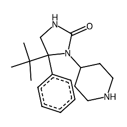 CC(C)(C)C1(c2ccccc2)CNC(=O)N1C1CCNCC1